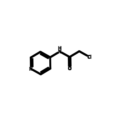 O=C(CCl)Nc1ccncc1